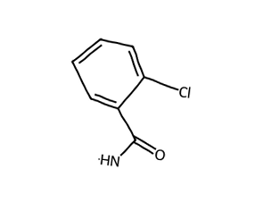 [NH]C(=O)c1ccccc1Cl